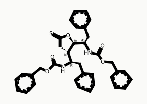 O=C(N[C@H](Cc1ccccc1)[C@@H]1CC(=S)O[C@H]1[C@@H](Cc1ccccc1)NC(=O)OCc1ccccc1)OCc1ccccc1